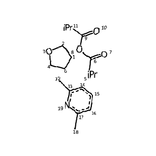 C1CCOC1.CC(C)C(=O)OC(=O)C(C)C.Cc1cccc(C)n1